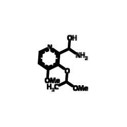 COc1ccnc(C(N)O)c1OC(C)OC